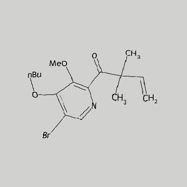 C=CC(C)(C)C(=O)c1ncc(Br)c(OCCCC)c1OC